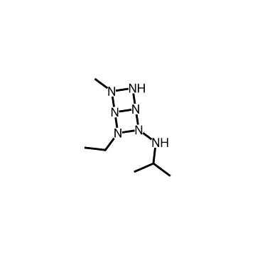 CCN1N(NC(C)C)N2NN(C)N12